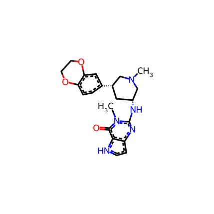 CN1C[C@H](Nc2nc3cc[nH]c3c(=O)n2C)C[C@H](c2ccc3c(c2)OCCO3)C1